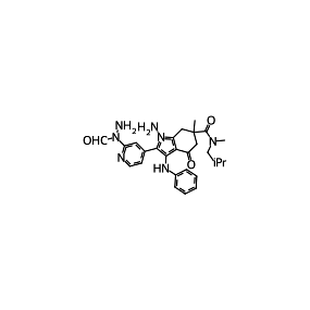 CC(C)CN(C)C(=O)C1(C)CC(=O)c2c(Nc3ccccc3)c(-c3ccnc(N(N)C=O)c3)n(N)c2C1